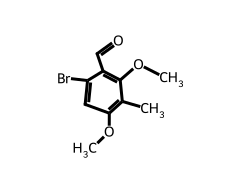 COc1cc(Br)c(C=O)c(OC)c1C